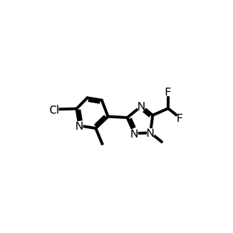 Cc1nc(Cl)ccc1-c1nc(C(F)F)n(C)n1